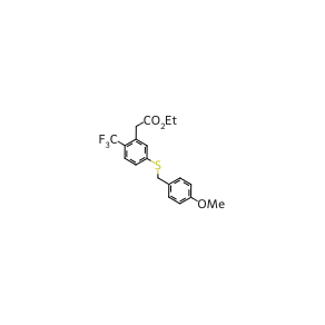 CCOC(=O)Cc1cc(SCc2ccc(OC)cc2)ccc1C(F)(F)F